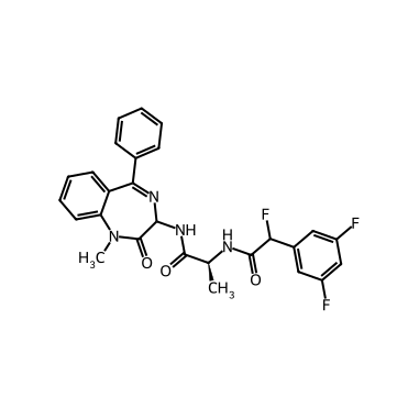 C[C@H](NC(=O)C(F)c1cc(F)cc(F)c1)C(=O)NC1N=C(c2ccccc2)c2ccccc2N(C)C1=O